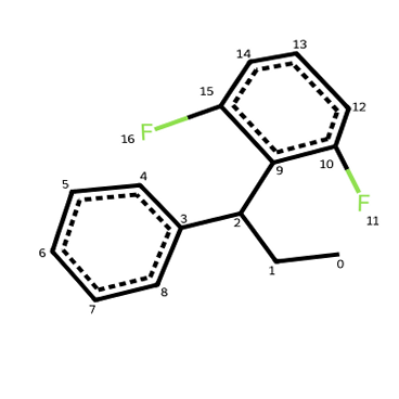 CCC(c1ccccc1)c1c(F)cccc1F